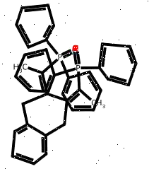 C/C(=C1\Cc2ccccc2C\C1=C(/C)P(=O)(c1ccccc1)c1ccccc1)P(=O)(c1ccccc1)c1ccccc1